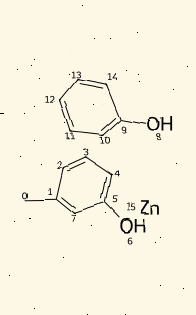 Cc1cccc(O)c1.Oc1ccccc1.[Zn]